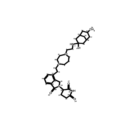 CCC1(NCCN2CCCN(CCc3cccc4c3CN(C3CCC(=O)NC3=O)C4=O)CC2)CC2CC(C)CC(C2)C1